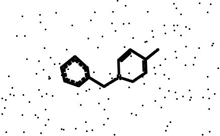 CC1=CCN(Cc2ccccc2)C=C1